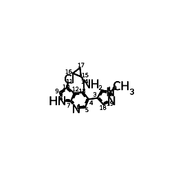 Cn1cc(-c2cnc3[nH]cc(Cl)c3c2NC2CC2)cn1